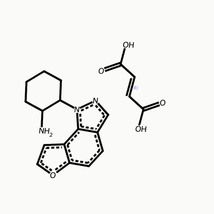 NC1CCCCC1n1ncc2ccc3occc3c21.O=C(O)/C=C/C(=O)O